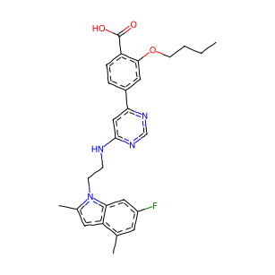 CCCCOc1cc(-c2cc(NCCn3c(C)cc4c(C)cc(F)cc43)ncn2)ccc1C(=O)O